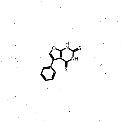 S=c1[nH]c(=S)c2c(-c3ccccc3)coc2[nH]1